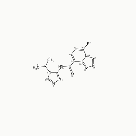 CC(C)n1nnnc1NC(=O)c1ccc(F)n2cnnc12